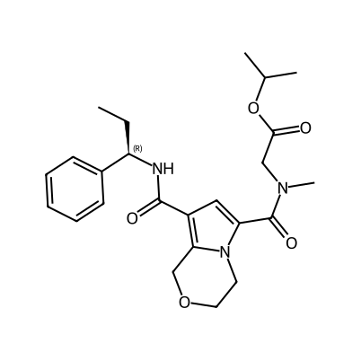 CC[C@@H](NC(=O)c1cc(C(=O)N(C)CC(=O)OC(C)C)n2c1COCC2)c1ccccc1